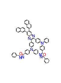 C1=CC(c2nnc(-c3ccc(N(c4ccccc4)c4ccc(-c5nc6cc(-c7ccc8ccccc8c7)c(-c7ccc8ccccc8c7)cc6nc5-c5ccc(N(c6ccccc6)c6ccc(-c7nnc(-c8ccccc8)o7)cc6)cc5)cc4)cc3)o2)=CCC1